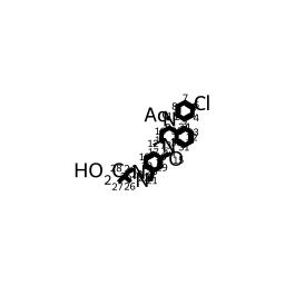 CC(=O)N(c1ccc(Cl)cc1)[C@@H]1C[C@H](C)N(C(=O)c2ccc3c(cnn3CC(C)(C)C(=O)O)c2)c2ccccc21